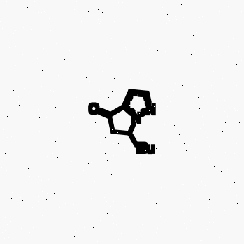 CCC(C)C1CC(=O)c2ccnn21